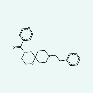 O=C(c1ccncc1)N1CCOC2(CCN(CCc3ccccc3)CC2)C1